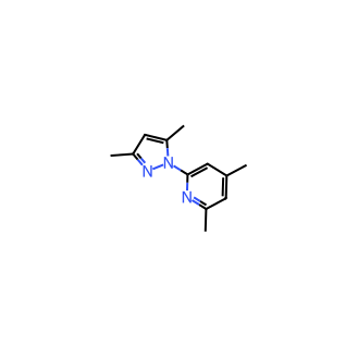 Cc1cc(C)nc(-n2nc(C)cc2C)c1